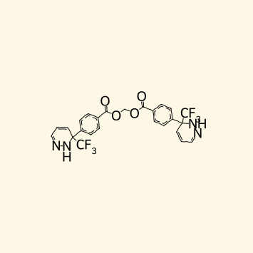 O=C(OCOC(=O)c1ccc(C2(C(F)(F)F)C=CC=NN2)cc1)c1ccc(C2(C(F)(F)F)C=CC=NN2)cc1